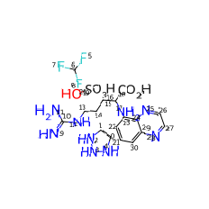 C1CNNN1.FC(F)F.N=C(N)NCCCC(N)C(=O)O.O=S(=O)(O)O.c1ccc2nccnc2c1